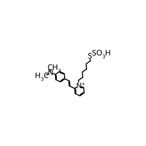 CN(C)c1ccc(/C=C/c2cccc[n+]2CCCCCCSS(=O)(=O)O)cc1